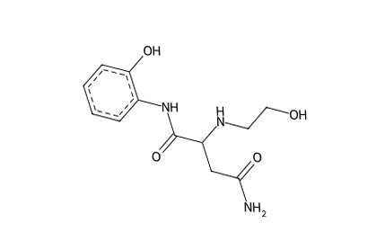 NC(=O)CC(NCCO)C(=O)Nc1ccccc1O